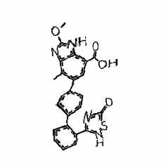 COc1nc2c(C)c(-c3ccc(-c4ccccc4-c4nc(=O)s[nH]4)cc3)cc(C(=O)O)c2[nH]1